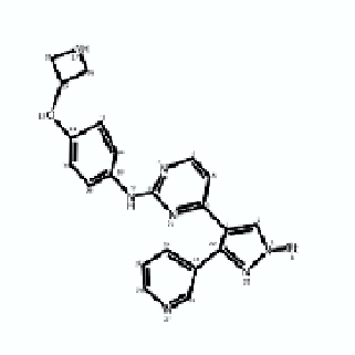 CCn1cc(-c2ccnc(Nc3ccc(OC4CNC4)cc3)n2)c(-c2cccnc2)n1